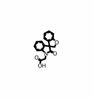 O=C(O)CN1C(=O)C2(COc3ccccc32)c2ccccc21